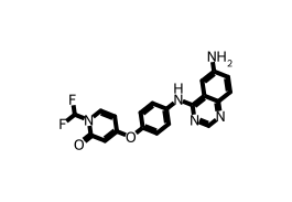 Nc1ccc2ncnc(Nc3ccc(Oc4ccn(C(F)F)c(=O)c4)cc3)c2c1